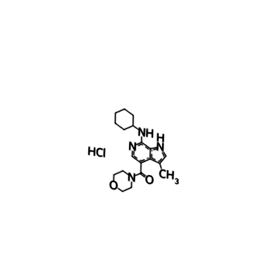 Cc1c[nH]c2c(NC3CCCCC3)ncc(C(=O)N3CCOCC3)c12.Cl